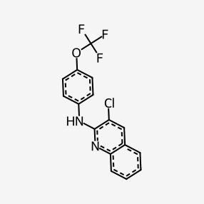 FC(F)(F)Oc1ccc(Nc2nc3ccccc3cc2Cl)cc1